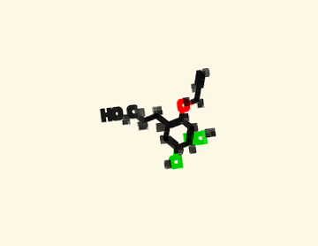 C#CCOc1ccc(Cl)cc1CCC(=O)O.Cl